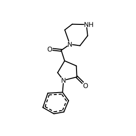 O=C(C1CC(=O)N(c2ccccc2)C1)N1CCNCC1